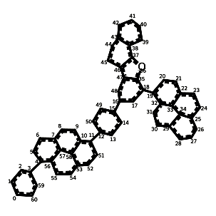 c1ccc(-c2ccc3ccc4c(-c5ccc(-c6cc(-c7ccc8ccc9cccc%10ccc7c8c9%10)c7oc8c9ccccc9ccc8c7c6)cc5)ccc5ccc2c3c54)cc1